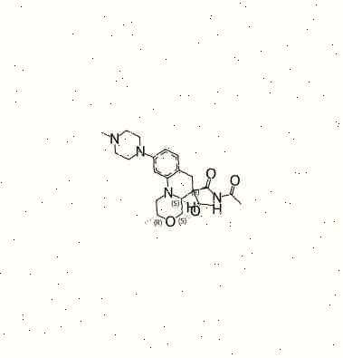 CC(=O)NC(=O)[C@]1(C(C)=O)Cc2ccc(N3CCN(C)CC3)cc2N2C[C@@H](C)O[C@@H](C)[C@@H]21